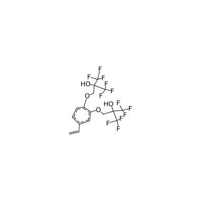 C=Cc1ccc(OCC(O)(C(F)(F)F)C(F)(F)F)c(OCC(O)(C(F)(F)F)C(F)(F)F)c1